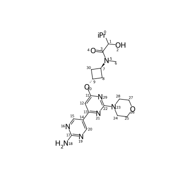 CC(C)C(O)C(=O)N(C)[C@H]1C[C@H](Oc2cc(-c3cnc(N)nc3)nc(N3CCOCC3)n2)C1